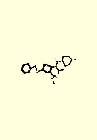 COC(=O)c1cc(OCc2ccccc2)ccc1N(C(=O)[C@H]1CC[C@H](C)CC1)C(C)C